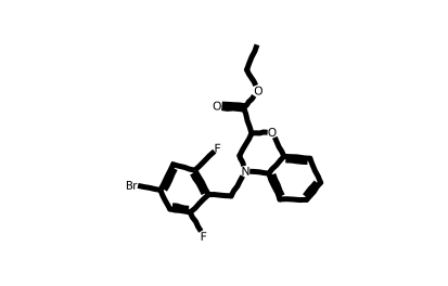 CCOC(=O)C1CN(Cc2c(F)cc(Br)cc2F)c2ccccc2O1